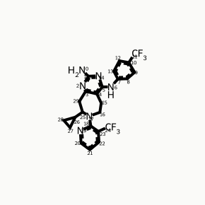 Nc1nc2c(c(Nc3ccc(C(F)(F)F)cc3)n1)CCN(c1ncccc1C(F)(F)F)C(C1CC1)C2